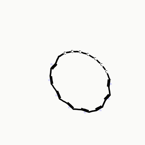 [C]1=C/C=C/C=C\C=C\C=C\C=C\C=C/C=C/CCCCCCCC/1